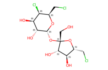 OC[C@@]1(O[C@H]2O[C@H](CCl)[C@H](Cl)[C@H](O)[C@H]2O)O[C@H](CCl)[C@@H](O)[C@@H]1O